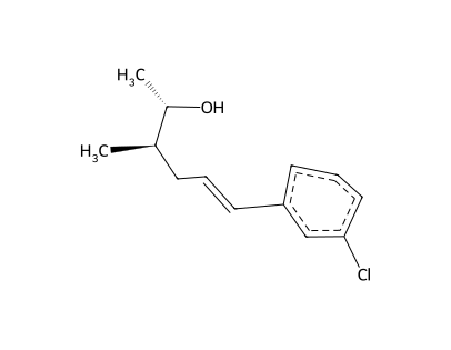 C[C@H](O)[C@H](C)C/C=C/c1cccc(Cl)c1